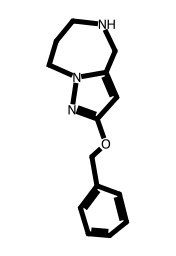 c1ccc(COc2cc3n(n2)CCCNC3)cc1